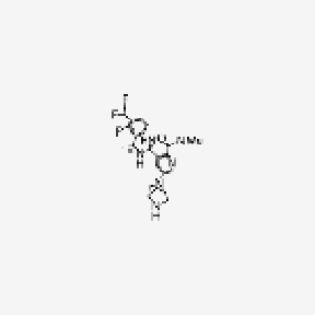 CNC(=O)c1ncc(N2CC3CC2CN3)cc1C(=N)N[C@H](C)c1cccc(C(F)F)c1F